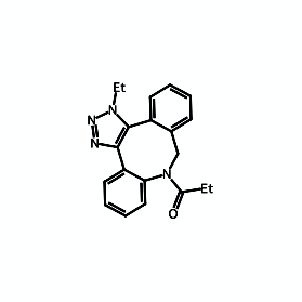 CCC(=O)N1Cc2ccccc2-c2c(nnn2CC)-c2ccccc21